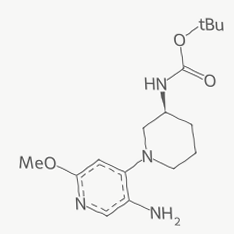 COc1cc(N2CCC[C@H](NC(=O)OC(C)(C)C)C2)c(N)cn1